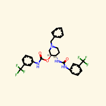 O=C(Nc1cccc(C(F)(F)F)c1)N[C@H]1CCN(Cc2ccccc2)C[C@@H]1OC(=O)Nc1cccc(C(F)(F)F)c1